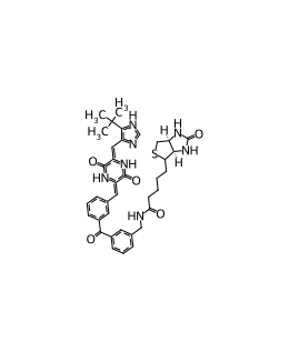 CC(C)(C)c1[nH]cnc1/C=c1\[nH]c(=O)/c(=C/c2cccc(C(=O)c3cccc(CNC(=O)CCCCC4SC[C@H]5NC(=O)N[C@@H]45)c3)c2)[nH]c1=O